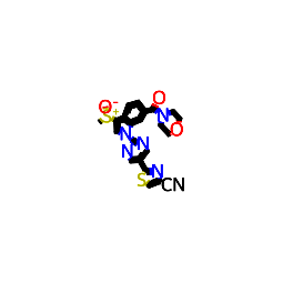 C[S+]([O-])c1cn(-c2ncc(-c3nc(C#N)cs3)cn2)c2cc(C(=O)N3CCOCC3)ccc12